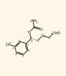 NC(=O)O[C@H](COCC=O)c1cccc(Cl)c1